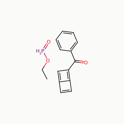 CCO[PH2]=O.O=C(c1ccccc1)c1cc2ccc1-2